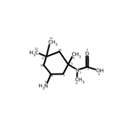 CN(C(=O)O)C1(C)CC(N)CC(C)(C)C1